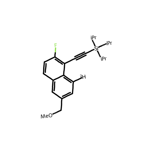 [2H]c1cc(COC)cc2ccc(F)c(C#C[Si](C(C)C)(C(C)C)C(C)C)c12